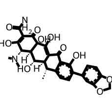 C[C@H]1c2ccc(-c3ccc4c(c3)OCO4)c(O)c2C(=O)C2=C(O)[C@]3(O)C(=O)C(C(N)=O)=C(O)[C@@H](N(C)C)[C@@H]3[C@@H](O)[C@@H]21